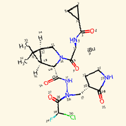 CC[C@H](C)[C@H](NC(=O)C1CC1)C(=O)N1C[C@H]2[C@@H]([C@H]1C(=O)NN(C[C@@H]1CCNC1=O)C(=O)[C@H](F)Cl)C2(C)C